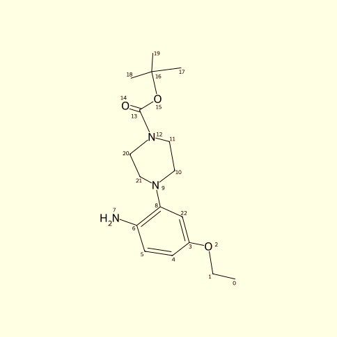 CCOc1ccc(N)c(N2CCN(C(=O)OC(C)(C)C)CC2)c1